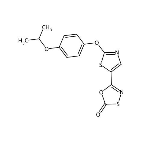 CC(C)Oc1ccc(Oc2ncc(-c3nsc(=O)o3)s2)cc1